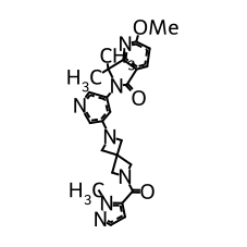 COc1ccc2c(n1)C(C)(C)N(c1cncc(N3CC4(CN(C(=O)c5ccnn5C)C4)C3)c1)C2=O